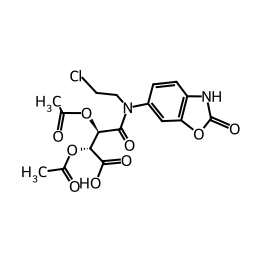 CC(=O)O[C@@H](C(=O)O)[C@@H](OC(C)=O)C(=O)N(CCCl)c1ccc2[nH]c(=O)oc2c1